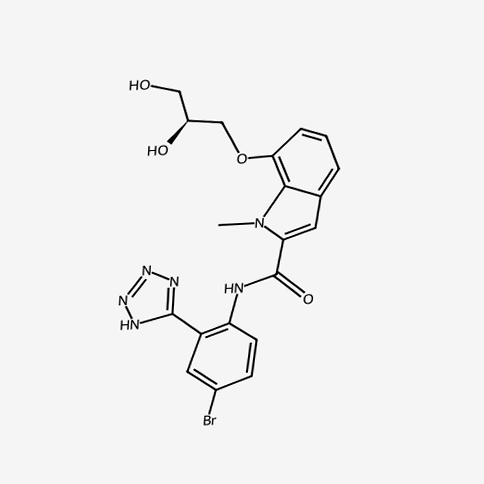 Cn1c(C(=O)Nc2ccc(Br)cc2-c2nnn[nH]2)cc2cccc(OC[C@@H](O)CO)c21